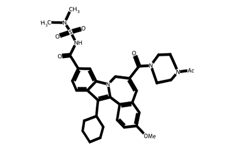 COc1ccc2c(c1)C=C(C(=O)N1CCN(C(C)=O)CC1)Cn1c-2c(C2CCCCC2)c2ccc(C(=O)NS(=O)(=O)N(C)C)cc21